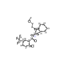 COCCn1/c(=N/C(=O)c2cc(C(F)(F)F)ccc2Cl)sc2ccccc21